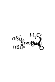 CCC(=O)[O-].CCC[CH2][Sn+]([CH2]CCC)[CH2]CCC